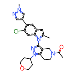 CC(=O)N1CCc2c(c(-n3c(C)cc4cc(-c5cnn(C)c5)c(Cl)cc43)nn2C2CCOCC2)C1